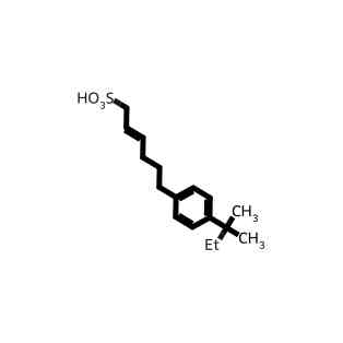 CCC(C)(C)c1ccc(CCCC=CCS(=O)(=O)O)cc1